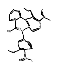 CCc1cc(Sc2ccc([N+](=O)[O-])c(CC)c2-c2ccccc2C(=O)O)ccc1[N+](=O)[O-]